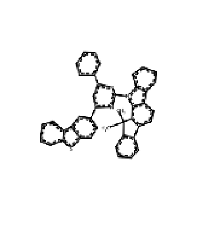 CC1(C)c2ccccc2-c2ccc3c4ccccc4n(-c4nc(-c5ccccc5)cc(-c5ccc6sc7ccccc7c6c5)n4)c3c21